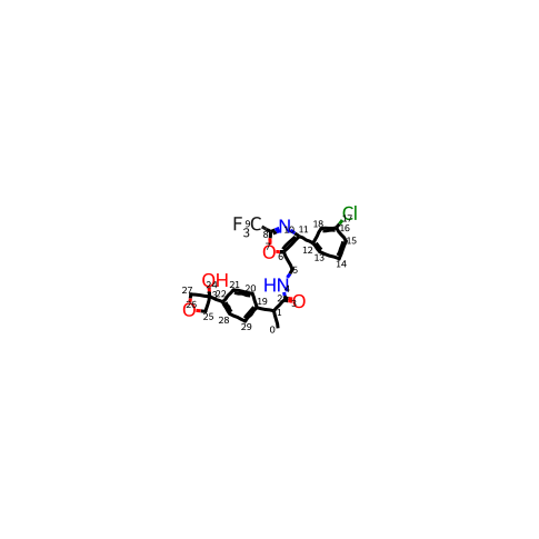 CC(C(=O)NCc1oc(C(F)(F)F)nc1-c1cccc(Cl)c1)c1ccc(C2(O)COC2)cc1